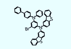 Brc1cc(N(c2ccccc2)c2ccc(-c3ccccc3)cc2)cc(N(c2ccc3sc4ccccc4c3c2)c2ccc3sc4ccccc4c3c2)c1